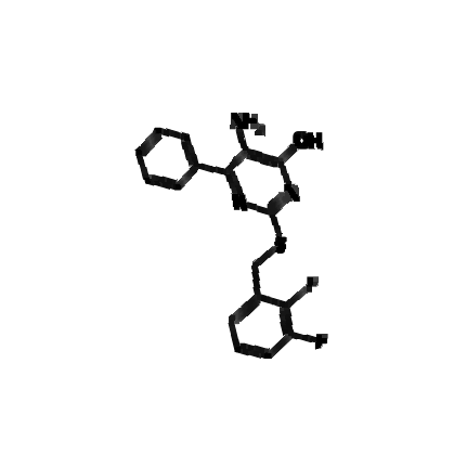 Nc1c(O)nc(SCc2cccc(F)c2F)nc1-c1ccccc1